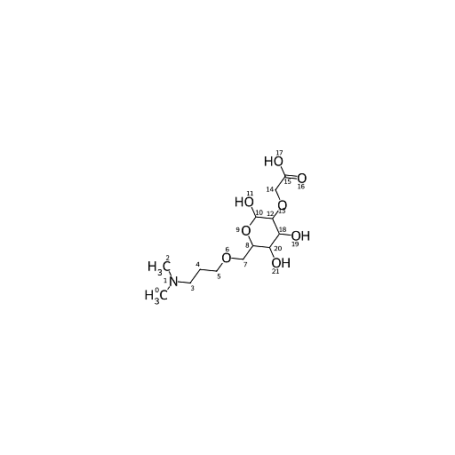 CN(C)CCCOCC1OC(O)C(OCC(=O)O)C(O)C1O